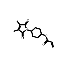 C=CC(=O)OC1CCC(N2C(=O)C(C)=C(C)C2=O)CC1